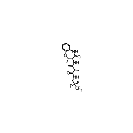 C=C(N[C@@H]1C(=O)Nc2ccccc2O[C@@H]1C)C(C)C(=O)NCC(F)(F)C(F)(F)F